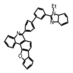 CCN1C(c2cccc(-c3ccc(-c4nc5ccccc5c5c4ccc4c6ccccc6oc45)cc3)c2)=NC2C=CC=CC21